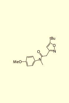 COc1ccc(N(C)C(=O)Cc2cc(C(C)(C)C)on2)cc1